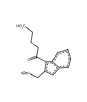 CCCCCCCCCCCc1cc2ccccc2n1C(=O)CCCC(=O)O